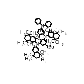 Cc1cc2c(cc1N1c3cc(N(c4ccccc4)c4ccccc4)ccc3B3c4cc5c(cc4N(c4ccc6c(c4)C(C)(C)CCC6(C)C)c4cc(C(C)(C)C)cc1c43)C(C)(C)CCC5(C)C)C(C)(C)CCC2(C)C